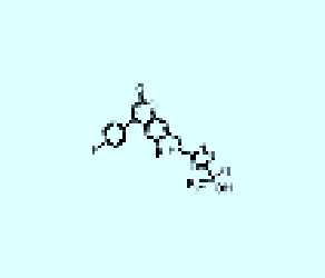 CCC(O)(c1nnc(NCc2cc3oc(=O)cc(-c4ccc(F)cc4)c3cc2F)o1)C(F)(F)F